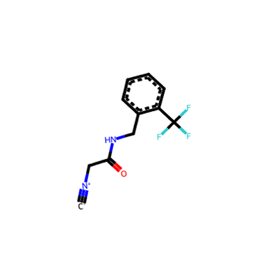 [C-]#[N+]CC(=O)NCc1ccccc1C(F)(F)F